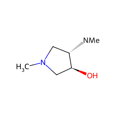 CN[C@H]1CN(C)C[C@@H]1O